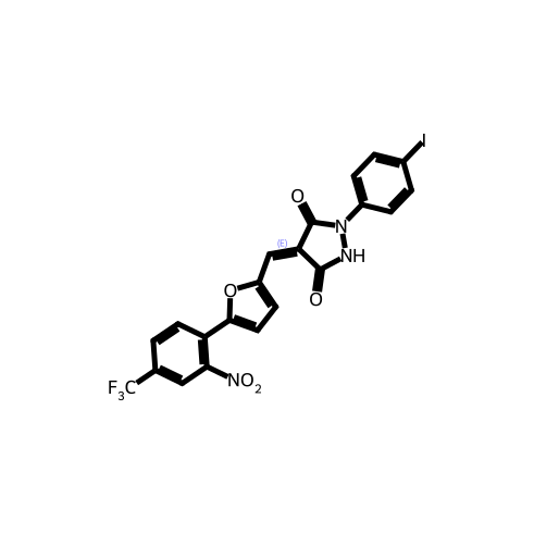 O=C1NN(c2ccc(I)cc2)C(=O)/C1=C/c1ccc(-c2ccc(C(F)(F)F)cc2[N+](=O)[O-])o1